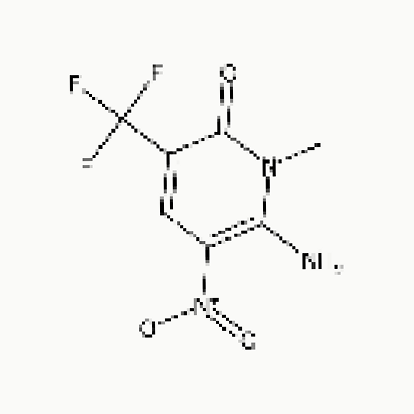 Cn1c(N)c([N+](=O)[O-])cc(C(F)(F)F)c1=O